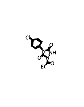 CCC(=O)n1[nH]c(=O)n(-c2ccc(Cl)cc2)c1=O